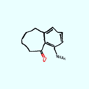 CC(=O)Nc1cccc2c1C(=O)CCCC2